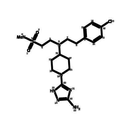 CNS(=O)(=O)CCN(CCc1ccc(Cl)cc1)C1CCN(c2nc(N)n[nH]2)CC1